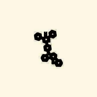 C1=C(c2ccccc2)NC(c2ccccc2)N=C1c1ccc(-n2c3ccccc3c3c4sc5ccccc5c4ccc32)cc1